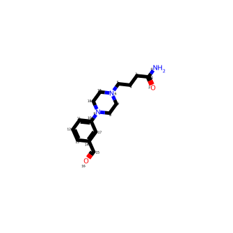 NC(=O)CCCN1CCN(c2cccc(C=O)c2)CC1